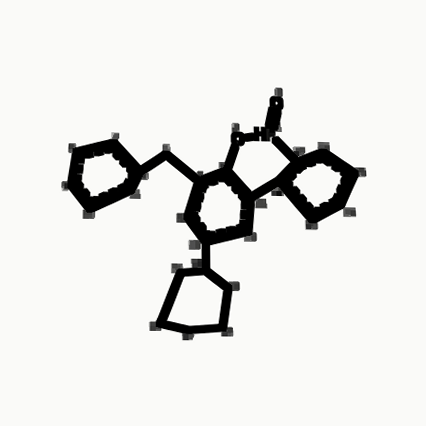 O=[PH]1Oc2c(Cc3ccccc3)cc(C3CCCCC3)cc2-c2ccccc21